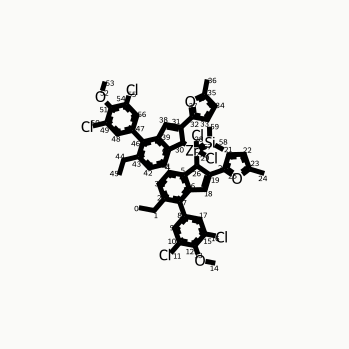 CCc1ccc2c(c1-c1cc(Cl)c(OC)c(Cl)c1)C=C(c1ccc(C)o1)[CH]2[Zr]([Cl])([Cl])([CH]1C(c2ccc(C)o2)=Cc2c1ccc(CC)c2-c1cc(Cl)c(OC)c(Cl)c1)=[Si](C)C